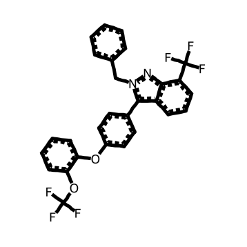 FC(F)(F)Oc1ccccc1Oc1ccc(-c2c3cccc(C(F)(F)F)c3nn2Cc2ccccc2)cc1